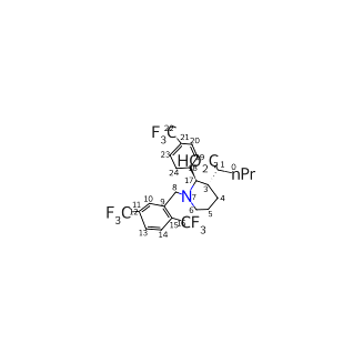 CCCC(C(=O)O)[C@@H]1CCCN(Cc2cc(C(F)(F)F)ccc2C(F)(F)F)[C@H]1C1C=CC(C(F)(F)F)=CC1